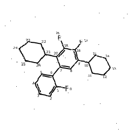 Fc1ccccc1-c1cc(C2CCCCC2)c(F)c(F)c1C1CCCCC1